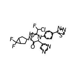 O=C(NC1CC2C(C1)C2(F)F)C(c1cncnc1)N(C(=O)C(F)Cl)c1ccc(-c2nncs2)cc1